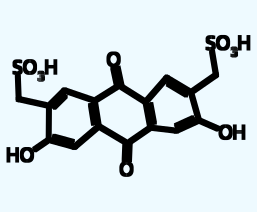 O=C1c2cc(O)c(CS(=O)(=O)O)cc2C(=O)c2cc(CS(=O)(=O)O)c(O)cc21